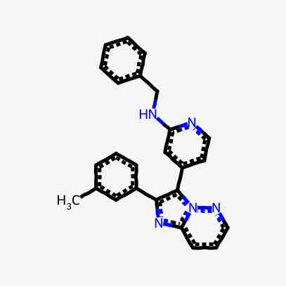 Cc1cccc(-c2nc3cccnn3c2-c2ccnc(NCc3ccccc3)c2)c1